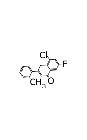 Cc1ccccc1C1=CC(=O)c2cc(F)cc(Cl)c2C1